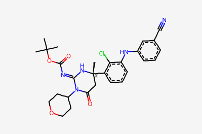 CC(C)(C)OC(=O)N=C1N[C@](C)(c2cccc(Nc3cccc(C#N)c3)c2Cl)CC(=O)N1C1CCOCC1